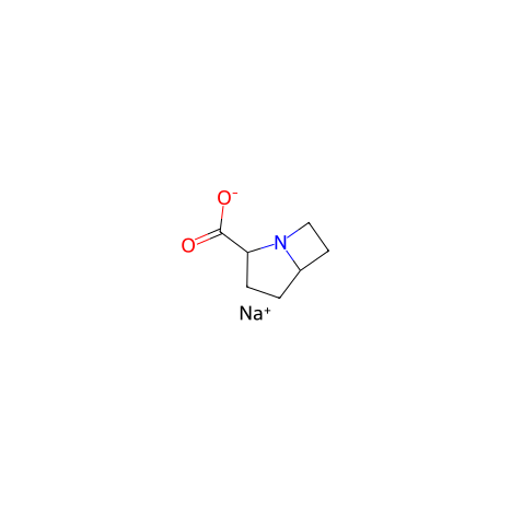 O=C([O-])C1CCC2CCN21.[Na+]